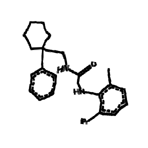 Cc1cccc(C(C)C)c1NC(=O)NCC1(c2ccccc2)CCCCC1